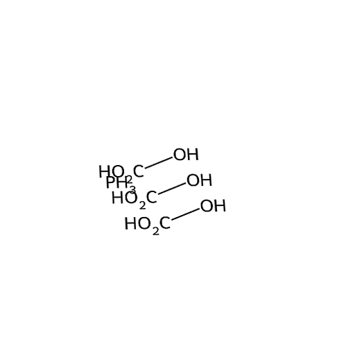 O=C(O)O.O=C(O)O.O=C(O)O.P